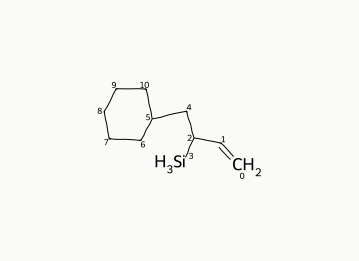 C=CC([SiH3])CC1CCCCC1